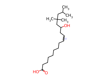 CC(C)CC(C)(C)CC(O)C/C=C\CCCCCCCC(=O)O